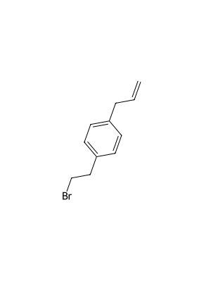 C=CCc1ccc(CCBr)cc1